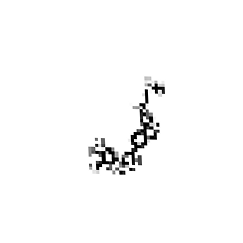 O=C(CC[SH](=O)=O)N1CC2(C1)OCc1cc(C3=NO[C@@](c4cc(Cl)c(F)c(Cl)c4)(C(F)(F)F)C3)ccc12